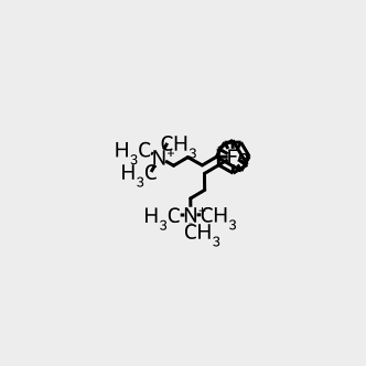 C[N+](C)(C)CCC[C]12[CH]3[CH]4[CH]5[CH]1[Fe]45321678[CH]2[CH]1[CH]6[C]7(CCC[N+](C)(C)C)[CH]28